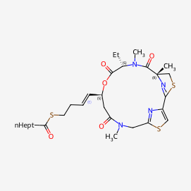 CCCCCCCC(=O)SCC/C=C/[C@@H]1CC(=O)N(C)Cc2nc(cs2)C2=N[C@@](C)(CS2)C(=O)N(C)[C@@H](CC)C(=O)O1